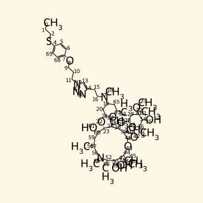 CCCSc1ccc(OCCCn2cc(CCN(C)[C@@H]3C[C@H](O[C@@H]4[C@@H](C)[C@H](O[C@H]5C[C@@](C)(OC)[C@@H](O)[C@H](C)O5)[C@@H](C)C(=O)O[C@H](CC)[C@@](C)(O)[C@H](O)[C@@H](C)N(C)C[C@H](C)C[C@H]4O)O[C@H](C)C3)nn2)cc1